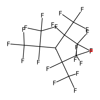 FC(F)(F)C(F)([C](C(F)(C(F)(F)F)C(F)(F)F)C(F)(C(F)(F)F)C(F)(F)F)C(F)(F)F